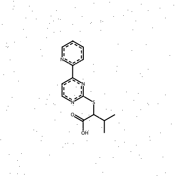 CC(C)C(Sc1nccc(-c2ccccn2)n1)C(=O)O